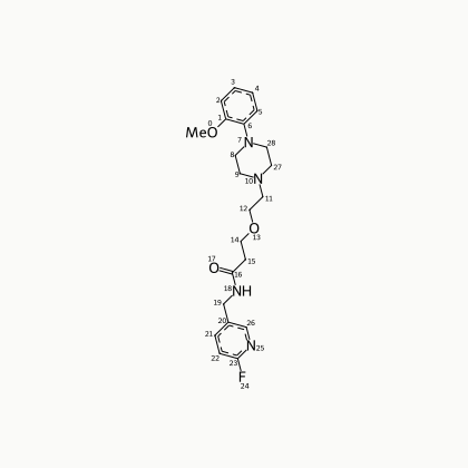 COc1ccccc1N1CCN(CCOCCC(=O)NCc2ccc(F)nc2)CC1